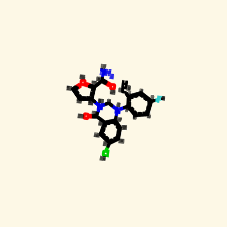 Cc1cc(F)ccc1N1CN(c2ccoc2C(N)=O)C(=O)c2cc(Cl)ccc21